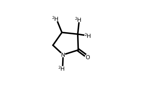 [2H]C1CN([2H])C(=O)C1([2H])[2H]